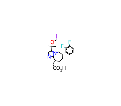 CC(C)(OCI)c1cnc2n1C[C@H](c1cccc(F)c1F)CC[C@H]2CC(=O)O